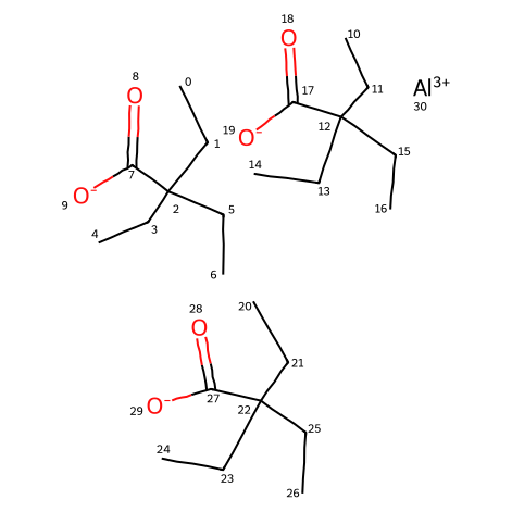 CCC(CC)(CC)C(=O)[O-].CCC(CC)(CC)C(=O)[O-].CCC(CC)(CC)C(=O)[O-].[Al+3]